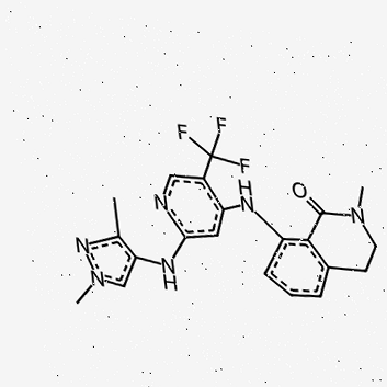 Cc1nn(C)cc1Nc1cc(Nc2cccc3c2C(=O)N(C)CC3)c(C(F)(F)F)cn1